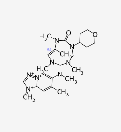 C=[N+]1C=[N+]=[N+]2C=C(N(C)C3N(C)/C=C(\C)N(C)C(=O)N(C4CCOCC4)CN3C)C(C)=CC12